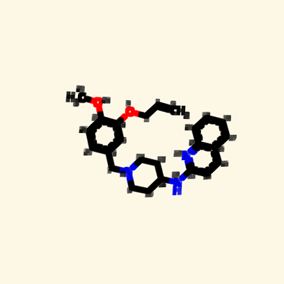 C=CCOc1cc(CN2CCC(Nc3ccc4ccccc4n3)CC2)ccc1OC